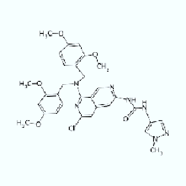 COc1ccc(CN(Cc2ccc(OC)cc2OC)c2nc(Cl)cc3cc(NC(=O)Nc4cnn(C)c4)ncc23)c(OC)c1